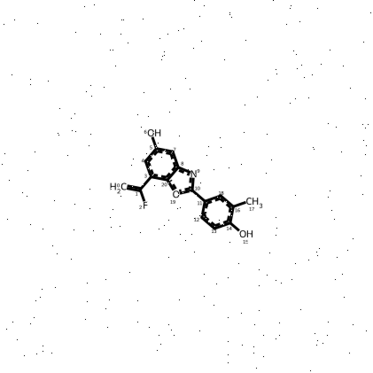 C=C(F)c1cc(O)cc2nc(-c3ccc(O)c(C)c3)oc12